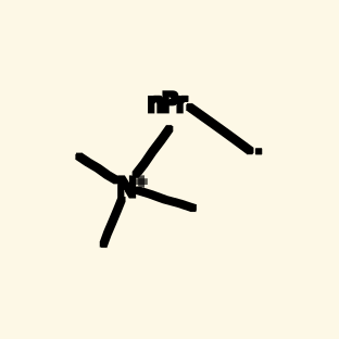 C[N+](C)(C)C.[CH2]CCC